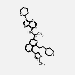 C[C@H](Nc1ncnc2c1ncn2C1CCCCO1)c1cc2cccc(-c3cnn(C)c3)c2c(CCN2CCOCC2)n1